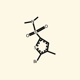 Cc1cc(S(=O)(=O)N(C)C)sc1Br